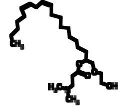 CCCCC/C=C\C/C=C\CCCCCCCCC(COCCO)OC(=O)CCN(C)C